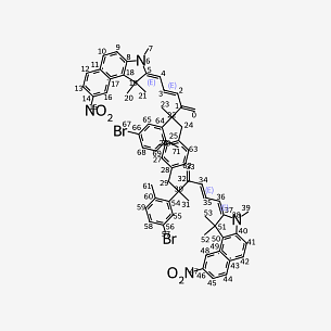 C=C(/C=C/C=C1/N(C)c2ccc3ccc([N+](=O)[O-])cc3c2C1(C)C)C(C)(Cc1ccc(CC(C)(C(=C)/C=C/C=C2/N(C)c3ccc4ccc([N+](=O)[O-])cc4c3C2(C)C)c2cc(Br)ccc2C)cc1)c1cc(Br)ccc1C